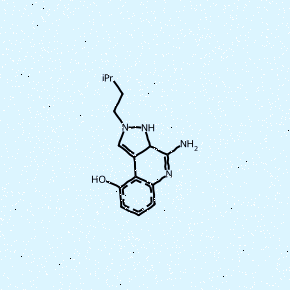 CC(C)CCN1C=C2c3c(O)cccc3N=C(N)C2N1